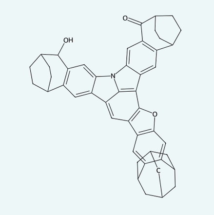 O=C1c2cc3c(cc2C2CCC1CC2)c1c2oc4cc5c(cc4c2cc2c4cc6c(cc4n3c21)C(O)C1CCC6CC1)C1CC2CC(CC5C2)C1